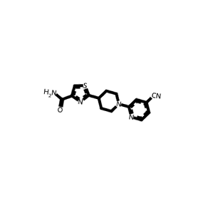 N#Cc1ccnc(N2CCC(c3nc(C(N)=O)cs3)CC2)c1